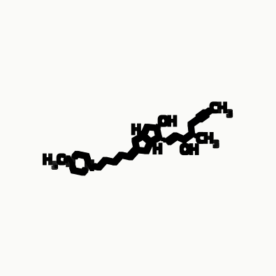 CC#CC[C@H](C)[C@H](O)/C=C/[C@@H]1[C@H]2C/C(=C/CCCCN3CCN(C)CC3)C[C@H]2C[C@H]1O